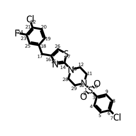 O=S(=O)(c1ccc(Cl)cc1)N1CCN(c2nc(Cc3ccc(Cl)c(F)c3)cs2)CC1